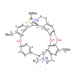 CNC(=S)N1CCc2cc3c4cc2[C@@H]1Cc1ccc(OC)c(c1)Oc1ccc(cc1)C[C@H]1c2c(cc(OC)c(c2O4)O3)CCN1C